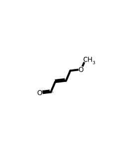 COCC=C[C]=O